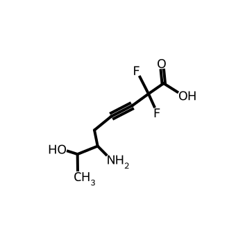 CC(O)C(N)CC#CC(F)(F)C(=O)O